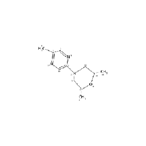 Cc1cnc(N2C[C@@H](C)O[C@@H](C)C2)cn1